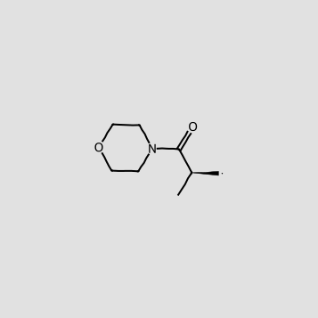 [CH2][C@@H](C)C(=O)N1CCOCC1